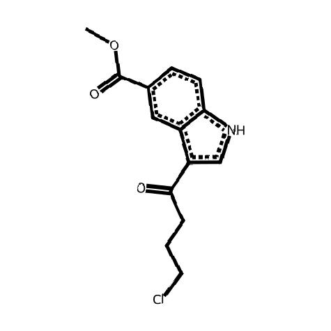 COC(=O)c1ccc2[nH]cc(C(=O)CCCCl)c2c1